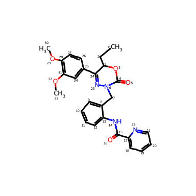 CCC1OC(=O)N(Cc2ccccc2NC(=O)c2ccccn2)N=C1c1ccc(OC)c(OC)c1